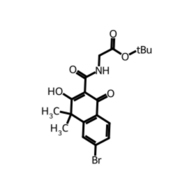 CC(C)(C)OC(=O)CNC(=O)C1=C(O)C(C)(C)c2cc(Br)ccc2C1=O